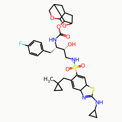 CC1(CC2=CC3N=C(NC4CC4)SC3C=C2S(=O)(=O)NC[C@@H](O)[C@H](Cc2ccc(F)cc2)NC(=O)OC2C3COC4OC2CC4C3)CC1